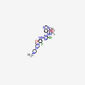 CN1CCC(N2CCN3c4c(F)cc(Nc5ncc(Br)c(Nc6ccc7nccnc7c6P(C)(C)=O)n5)cc4OCC3C2)CC1